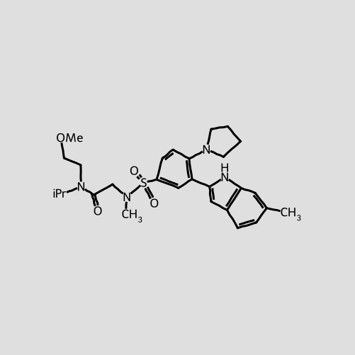 COCCN(C(=O)CN(C)S(=O)(=O)c1ccc(N2CCCC2)c(-c2cc3ccc(C)cc3[nH]2)c1)C(C)C